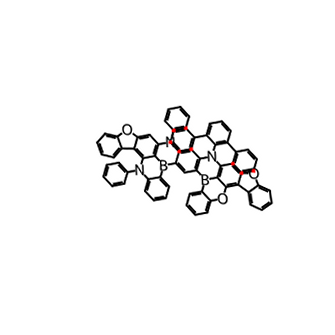 c1ccc(-c2cccc(-c3ccccc3)c2N2c3cc4c(cc3B3c5ccccc5Oc5c3c2cc2oc3ccccc3c52)B2c3ccccc3N(c3ccccc3)c3c2c(cc2oc5ccccc5c32)N4c2ccccc2)cc1